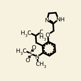 CC(C)Cc1c(OCC2=NCCN2)cccc1N(C)S(C)(=O)=O